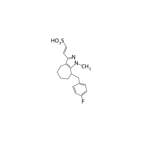 Cn1nc(C=CS(=O)(=O)O)c2c1C(Cc1ccc(F)cc1)CCCC2